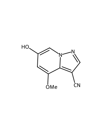 COc1cc(O)cn2ncc(C#N)c12